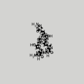 Nc1ncn([C@H]2CC(OP(=O)(O)OC[C@H]3O[C@@H](n4cnc5c(=O)[nH]c(N)nc54)CC3O)[C@@H](COP(=O)(O)OC[C@H]3O[C@@H](n4cnc5c(=O)[nH]c(N)nc54)CC3O)O2)c(=O)n1